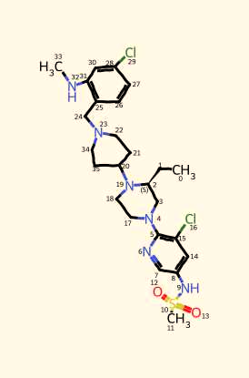 CC[C@H]1CN(c2ncc(NS(C)(=O)=O)cc2Cl)CCN1C1CCN(Cc2ccc(Cl)cc2NC)CC1